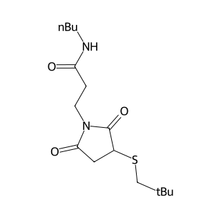 CCCCNC(=O)CCN1C(=O)CC(SCC(C)(C)C)C1=O